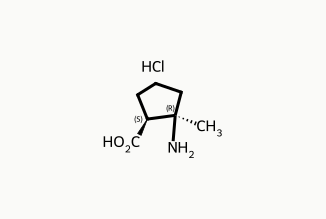 C[C@@]1(N)CCC[C@@H]1C(=O)O.Cl